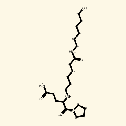 NC(=O)CCC(NCCCCCC(=O)NCCCCCCO)C(=O)N1CCCC1